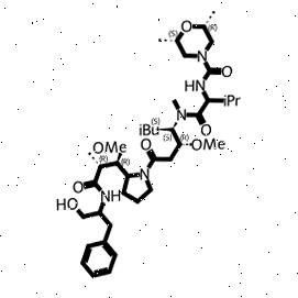 CC[C@H](C)[C@@H]([C@@H](CC(=O)N1CCCC1[C@H](OC)[C@@H](C)C(=O)NC(CO)Cc1ccccc1)OC)N(C)C(=O)C(NC(=O)N1C[C@@H](C)O[C@@H](C)C1)C(C)C